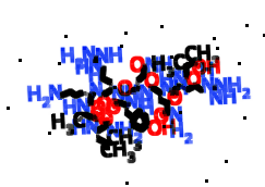 CC(C)C[C@H](NC(=O)[C@H](C)NC(=O)[C@H](CCCCN)NC(=O)[C@H](CCCNC(=N)N)NC(=O)[C@H](Cc1ccc(O)cc1)NC(=O)[C@H](CCC(N)=O)NC(=O)[C@H](CCC(N)=O)NC(=O)[C@H](CCCNC(=N)N)NC(=O)[C@@H](C)[C@@H](C)O)C(N)=O